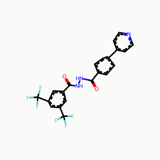 O=C(NNC(=O)c1cc(C(F)(F)F)cc(C(F)(F)F)c1)c1ccc(-c2ccncc2)cc1